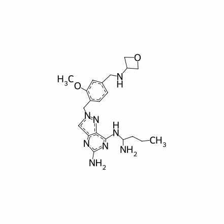 CCCC(N)Nc1nc(N)nc2cn(Cc3ccc(CNC4COC4)cc3OC)nc12